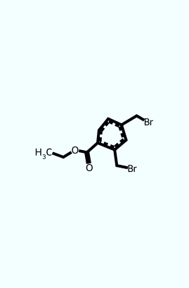 CCOC(=O)c1ccc(CBr)cc1CBr